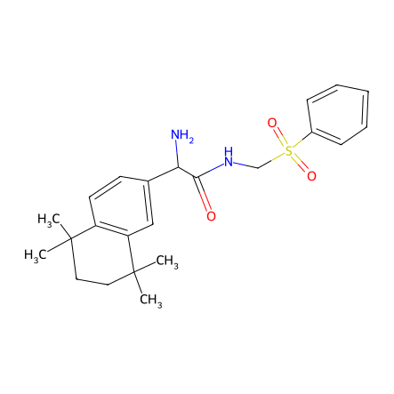 CC1(C)CCC(C)(C)c2cc(C(N)C(=O)NCS(=O)(=O)c3ccccc3)ccc21